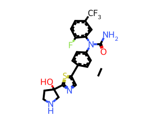 CC.NC(=O)N(c1ccc(-c2cnc(C3(O)CCNC3)s2)cc1)c1cc(C(F)(F)F)ccc1F